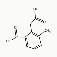 Cc1cccc(C(=O)O)c1CC(=O)O